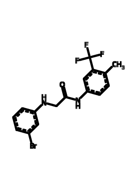 Cc1ccc(NC(=O)CNc2cccc(Br)c2)cc1C(F)(F)F